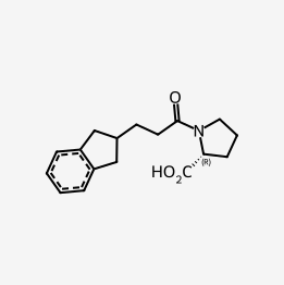 O=C(O)[C@H]1CCCN1C(=O)CCC1Cc2ccccc2C1